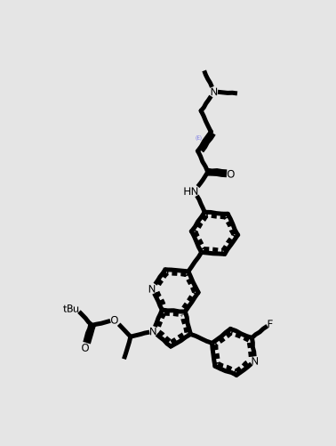 CC(OC(=O)C(C)(C)C)n1cc(-c2ccnc(F)c2)c2cc(-c3cccc(NC(=O)/C=C/CN(C)C)c3)cnc21